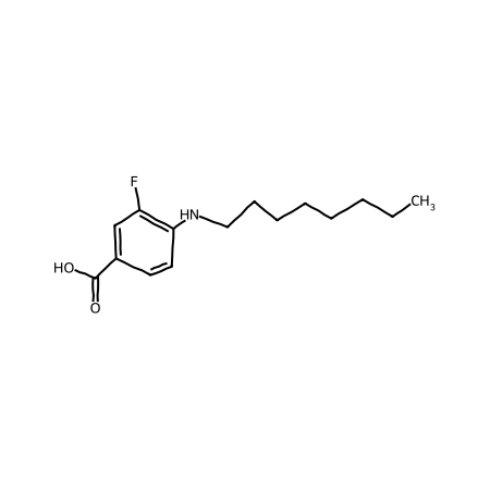 CCCCCCCCNc1ccc(C(=O)O)cc1F